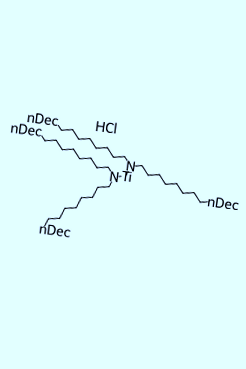 CCCCCCCCCCCCCCCCCC[N](CCCCCCCCCCCCCCCCCC)[Ti][N](CCCCCCCCCCCCCCCCCC)CCCCCCCCCCCCCCCCCC.Cl